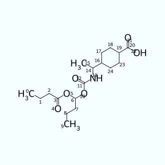 CCCC(=O)OC(CCC)OC(=O)NC(C)C1CCC(C(=O)O)CC1